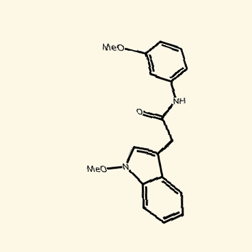 COc1cccc(NC(=O)Cc2cn(OC)c3ccccc23)c1